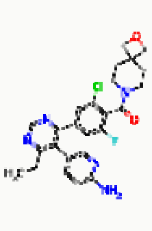 CCc1ncnc(-c2cc(F)c(C(=O)N3CCC4(CC3)COC4)c(Cl)c2)c1-c1ccc(N)nc1